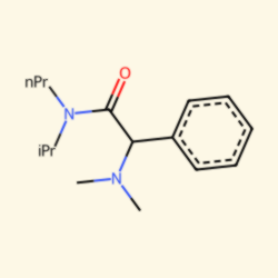 CCCN(C(=O)C(c1ccccc1)N(C)C)C(C)C